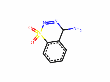 NC1N=NS(=O)(=O)c2ccccc21